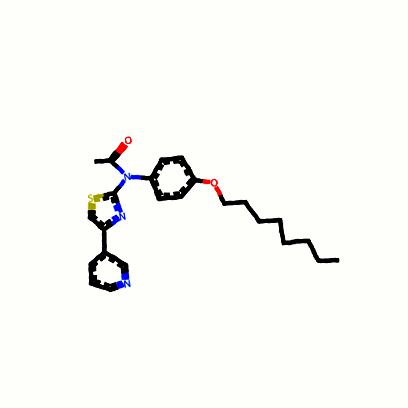 CCCCCCCCOc1ccc(N(C(C)=O)c2nc(-c3cccnc3)cs2)cc1